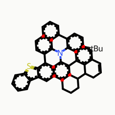 CC(C)(C)c1ccc(-c2ccccc2)c(N(c2ccccc2-c2cccc3c2C(C2CCCCC2)CC=C3)c2ccccc2-c2cccc3c2sc2ccccc23)c1